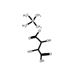 C[N+](C)(C)C.O=C([O-])C(O)C(O)C(=O)O